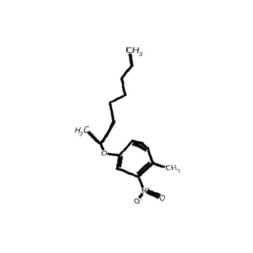 CCCCCCC(C)Oc1ccc(C)c([N+](=O)[O-])c1